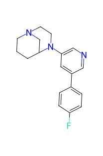 Fc1ccc(-c2cncc(N3CCN4CCCC3C4)c2)cc1